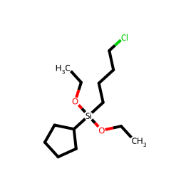 CCO[Si](CCCCCl)(OCC)C1CCCC1